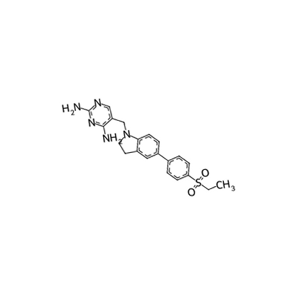 CCS(=O)(=O)c1ccc(-c2ccc3c(c2)CCN3Cc2cnc(N)nc2N)cc1